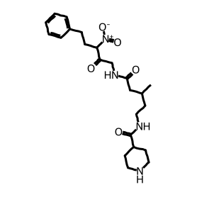 CC(CCNC(=O)C1CCNCC1)CC(=O)NCC(=O)C(CCc1ccccc1)[N+](=O)[O-]